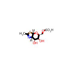 CC1=N[C@@H]2[C@@H](O)[C@H](O)[C@@H](COS(=O)(=O)O)O[C@@H]2S1